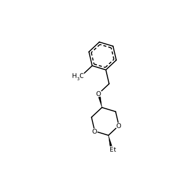 CC[C@H]1OC[C@@H](OCc2ccccc2C)CO1